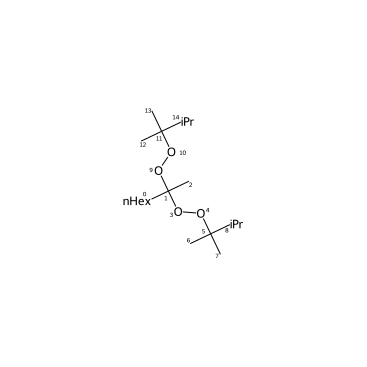 CCCCCCC(C)(OOC(C)(C)C(C)C)OOC(C)(C)C(C)C